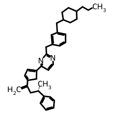 C=C(C[C@H](C)c1ccccc1)C1=CC=C(c2ccnc(Cc3cccc(CC4CCC(CCC)CC4)c3)n2)C1